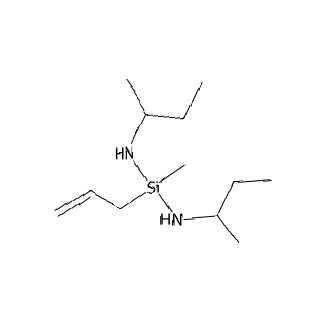 C=CC[Si](C)(NC(C)CC)NC(C)CC